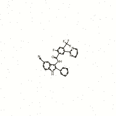 N#Cc1ccc2[nH]c(-c3ccccc3)c(NC(=O)c3cc(-c4ncccn4)c(C(F)(F)F)cc3F)c2c1